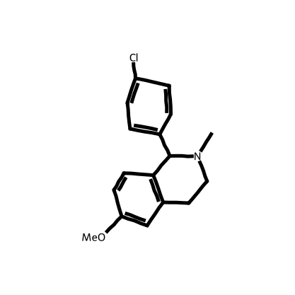 COc1ccc2c(c1)CCN(C)C2c1ccc(Cl)cc1